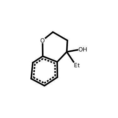 CCC1(O)CCOc2ccccc21